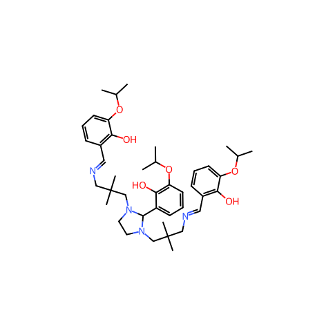 CC(C)Oc1cccc(/C=N/CC(C)(C)CN2CCN(CC(C)(C)C/N=C/c3cccc(OC(C)C)c3O)C2c2cccc(OC(C)C)c2O)c1O